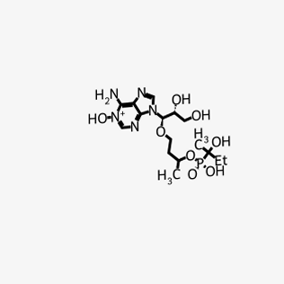 CCC(C)(O)P(=O)(O)OC(C)CCO[C@H]([C@H](O)CO)n1cnc2c(N)[n+](O)cnc21